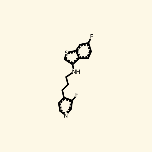 Fc1ccc2c(NCCCc3ccncc3F)csc2c1